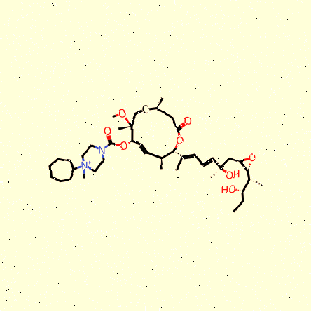 CC[C@H](O)[C@@H](C)[C@H]1O[C@@H]1C[C@@](C)(O)/C=C/C=C(\C)[C@H]1OC(=O)C[C@H](C)CC[C@@](C)(OC)[C@@H](OC(=O)N2CC[N+](C)(C3CCCCCC3)CC2)/C=C/[C@@H]1C